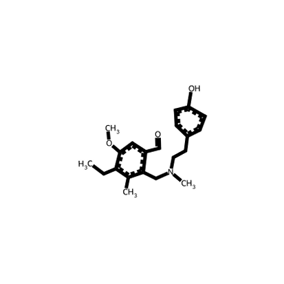 CCc1c(OC)cc(C=O)c(CN(C)CCc2ccc(O)cc2)c1C